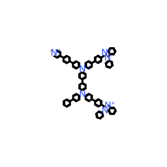 C[n+]1ccc(-c2ccc(-c3ccc(N(c4ccc(-c5ccc(-c6n(-c7ccccc7)c7ccccc7[n+]6C)cc5)cc4)c4ccc(-c5ccc(N(c6ccc(-c7ccccc7)cc6)c6ccc(-c7ccc(-c8n(-c9ccccc9)c9ccccc9[n+]8C)cc7)cc6)cc5)cc4)cc3)cc2)cc1